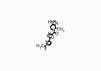 CC(F)n1ccc(-c2nnc(C(=O)N3CCc4[nH]cnc4[C@H]3C)o2)n1